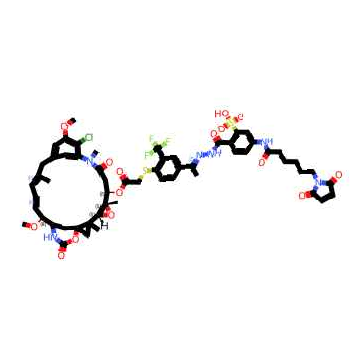 COc1cc2cc(c1Cl)N(C)C(=O)C[C@H](OC(=O)CSc1ccc(/C(C)=N/NC(=O)c3ccc(NC(=O)CCCCCN4C(=O)C=CC4=O)cc3S(=O)(=O)O)cc1C(F)(F)F)[C@]1(C)O[C@H]1C1(C)CC13CC(NC(=O)O3)[C@H](OC)/C=C/C=C(\C)C2